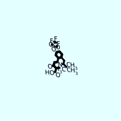 CC(C)(C)C1Cc2ccc(OS(=O)(=O)C(F)(F)F)cc2-c2cc(=O)c(C(=O)O)cn21